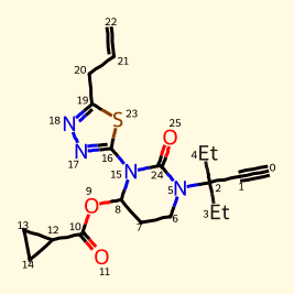 C#CC(CC)(CC)N1CCC(OC(=O)C2CC2)N(c2nnc(CC=C)s2)C1=O